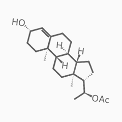 CC(=O)O[C@@H](C)[C@H]1CC[C@H]2[C@@H]3CCC4=C[C@@H](O)CC[C@]4(C)[C@H]3CC[C@]12C